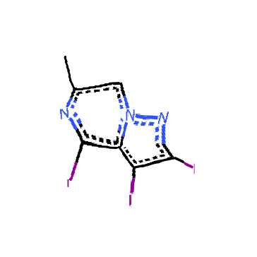 Cc1cn2nc(I)c(I)c2c(I)n1